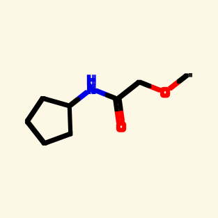 [CH2]OCC(=O)NC1CCCC1